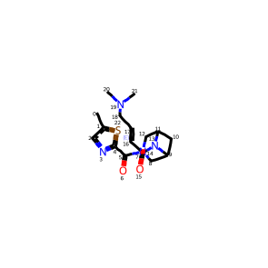 Cc1cnc(C(=O)N2CC3CC(C2)N3C(=O)/C=C/CN(C)C)s1